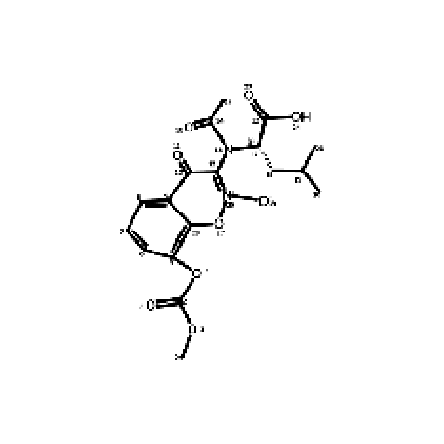 COC(=O)Oc1cccc2c(=O)c(N(C(C)=O)[C@@H](CC(C)C)C(=O)O)[n+]([O-])oc12